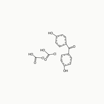 O=C(O)Cl.O=C(O)Cl.O=C(c1ccc(O)cc1)c1ccc(O)cc1